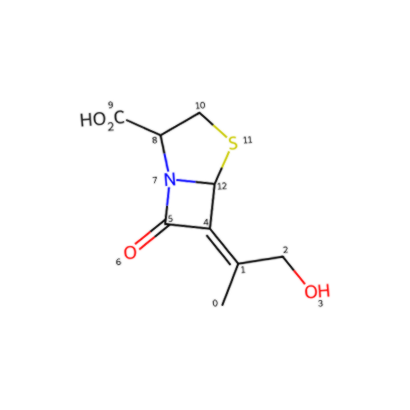 CC(CO)=C1C(=O)N2C(C(=O)O)CSC12